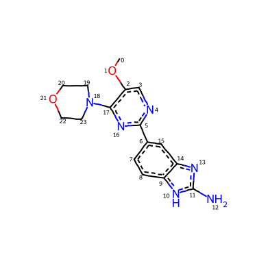 COc1cnc(-c2ccc3[nH]c(N)nc3c2)nc1N1CCOCC1